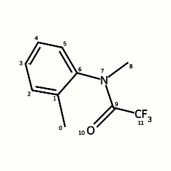 Cc1c[c]ccc1N(C)C(=O)C(F)(F)F